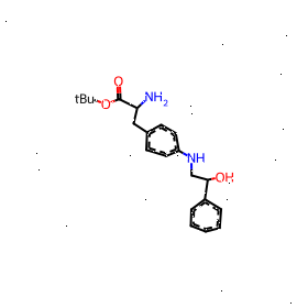 CC(C)(C)OC(=O)C(N)Cc1ccc(NCC(O)c2ccccc2)cc1